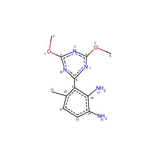 COc1nc(OC)nc(-c2c(C)ccc(N)c2N)n1